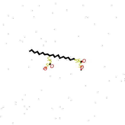 CCCCCCCCC(CCCCCCCCCSSC(=O)SOC)SSC(=O)SOC